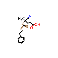 CC(C#N)(CCC(=O)O)SC(=S)SCCc1ccccc1